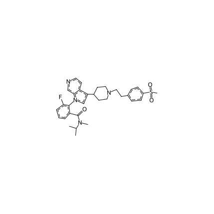 CC(C)N(C)C(=O)c1cccc(F)c1-n1cc(C2CCN(CCc3ccc(S(C)(=O)=O)cc3)CC2)c2ccncc21